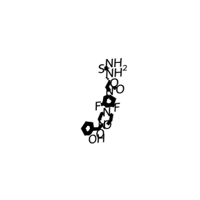 NC(=S)NC[C@H]1CN(c2cc(F)c(N3CCON(C(=O)c4ccccc4O)CC3)c(F)c2)C(=O)O1